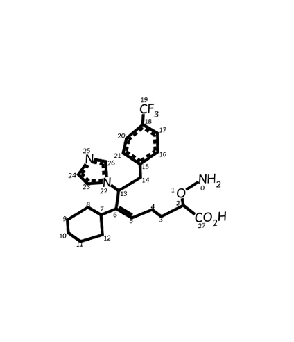 NOC(CCC=C(C1CCCCC1)C(Cc1ccc(C(F)(F)F)cc1)n1ccnc1)C(=O)O